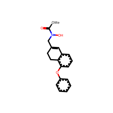 COC(=O)N(O)CC1=Cc2cccc(Oc3ccccc3)c2CC1